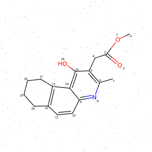 COC(=O)Cc1c(C)nc2ccc3c(c2c1O)CCCC3